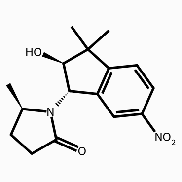 C[C@@H]1CCC(=O)N1[C@H]1c2cc([N+](=O)[O-])ccc2C(C)(C)[C@@H]1O